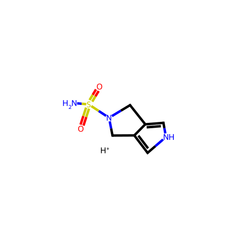 NS(=O)(=O)N1Cc2c[nH]cc2C1.[H+]